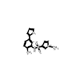 Cc1ccc(-c2ccco2)cc1NS(=O)(=O)c1ccn(C)c1